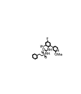 COc1cc(-c2cc(F)cc(C(C)C)c2NC(=O)NS(=O)(=O)CCc2ccccc2)ccn1